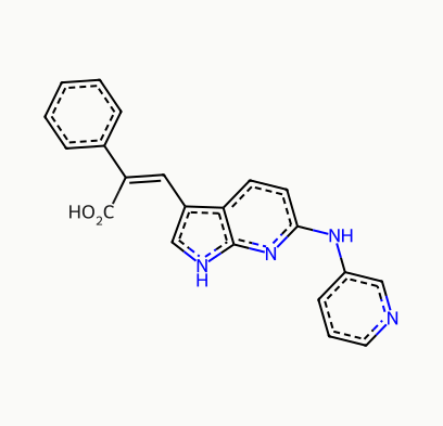 O=C(O)/C(=C\c1c[nH]c2nc(Nc3cccnc3)ccc12)c1ccccc1